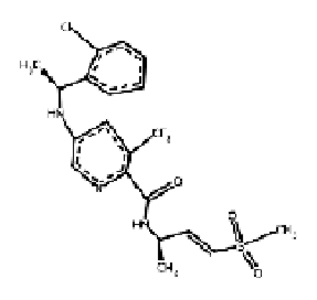 C[C@H](/C=C/S(C)(=O)=O)NC(=O)c1ncc(N[C@@H](C)c2ccccc2Cl)cc1C(F)(F)F